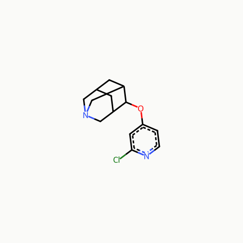 Clc1cc(OC2C3CC4CC2CN(C4)C3)ccn1